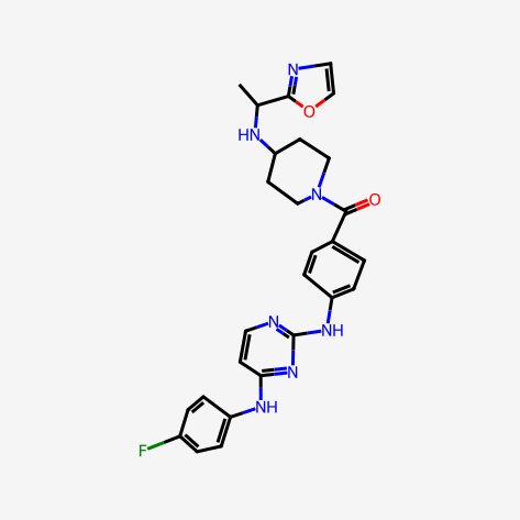 CC(NC1CCN(C(=O)c2ccc(Nc3nccc(Nc4ccc(F)cc4)n3)cc2)CC1)c1ncco1